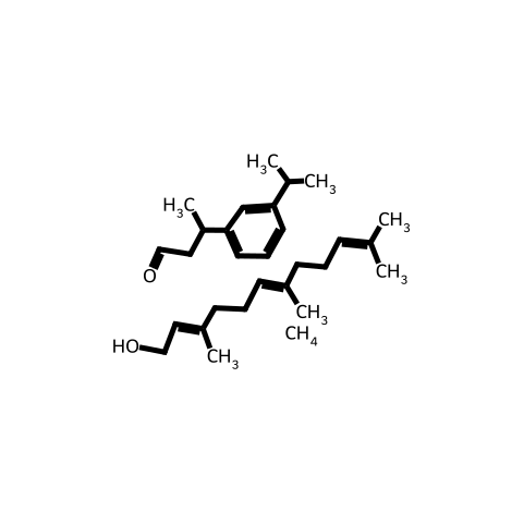 C.CC(C)=CCC/C(C)=C/CC/C(C)=C/CO.CC(C)c1cccc(C(C)CC=O)c1